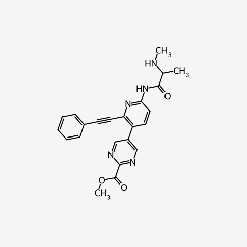 CNC(C)C(=O)Nc1ccc(-c2cnc(C(=O)OC)nc2)c(C#Cc2ccccc2)n1